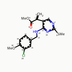 C=C(C(=O)OC)c1cnc(SC)nc1NCc1ccc(OC)c(Cl)c1